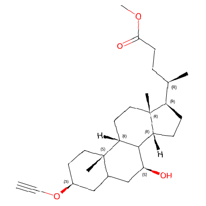 C#CO[C@H]1CC[C@@]2(C)C(C1)C[C@H](O)C1[C@H]3CC[C@H]([C@H](C)CCC(=O)OC)[C@@]3(C)CC[C@H]12